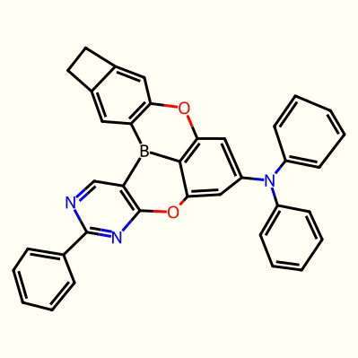 c1ccc(-c2ncc3c(n2)Oc2cc(N(c4ccccc4)c4ccccc4)cc4c2B3c2cc3c(cc2O4)CC3)cc1